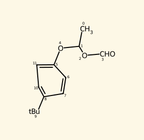 CC(OC=O)Oc1ccc(C(C)(C)C)cc1